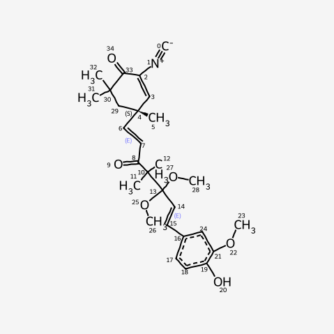 [C-]#[N+]C1=C[C@](C)(/C=C/C(=O)C(C)(C)C(/C=C/c2ccc(O)c(OC)c2)(OC)OC)CC(C)(C)C1=O